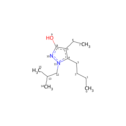 CCCCc1c(CC)c(O)nn1CC(C)C